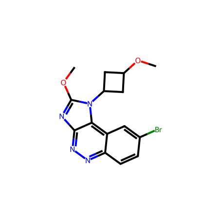 COc1nc2nnc3ccc(Br)cc3c2n1C1CC(OC)C1